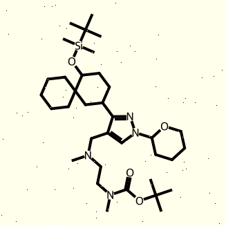 CN(CCN(C)C(=O)OC(C)(C)C)Cc1cn(C2CCCCO2)nc1C1CCC(O[Si](C)(C)C(C)(C)C)C2(CCCCC2)C1